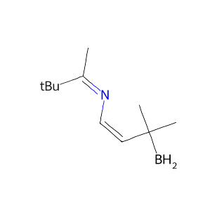 BC(C)(C)/C=C\N=C(\C)C(C)(C)C